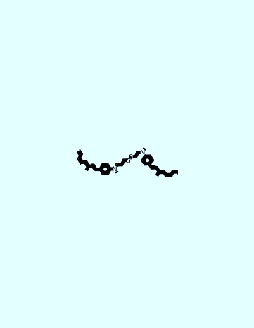 C=C\C=C/C=C(C)/C=C/c1ccc(N(C)CCCSSCCN(C)c2ccc(/C=C/C(C)=C/C=C\C=C)cc2)cc1